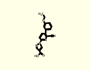 CCOc1cccc(-c2ccc(-n3cc(C(=O)O)cn3)nc2C#N)c1